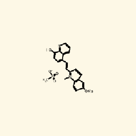 COc1ccc2c(ccc(C=Cc3ccc(O)c4ncccc34)[n+]2C)c1.O=S(=O)([O-])C(F)(F)F